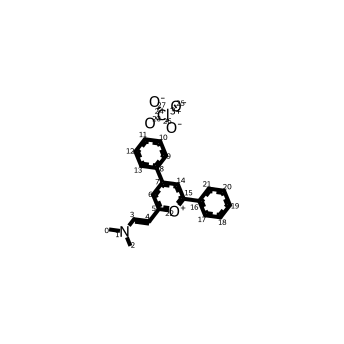 CN(C)C=Cc1cc(-c2ccccc2)cc(-c2ccccc2)[o+]1.[O-][Cl+3]([O-])([O-])[O-]